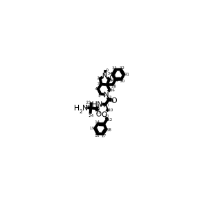 CN1CC2CCN(C(=O)[C@@H](COCc3ccccc3)NC(=O)C(C)(C)N)CC2(Cc2ccccc2)C1=O